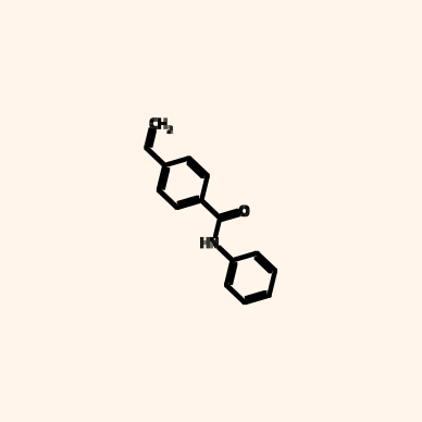 C=Cc1ccc(C(=O)Nc2ccccc2)cc1